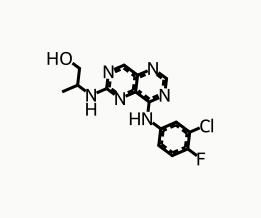 CC(CO)Nc1ncc2ncnc(Nc3ccc(F)c(Cl)c3)c2n1